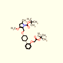 COC1=C(CO[C@H]2CC[C@@H](c3ccccc3OCC(=O)OC(C)(C)C)CC2)N(C(=O)OC(C)(C)C)C(C)C1